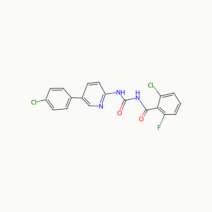 O=C(NC(=O)c1c(F)cccc1Cl)Nc1ccc(-c2ccc(Cl)cc2)cn1